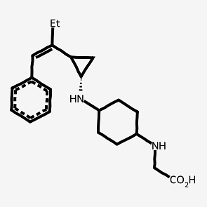 CCC(=Cc1ccccc1)C1C[C@@H]1NC1CCC(NCC(=O)O)CC1